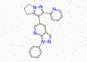 c1ccc(-n2ncc3cc(-c4c(-c5ccccn5)nn5c4CCC5)cnc32)cc1